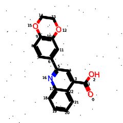 O=C(O)c1cc(-c2ccc3c(c2)OCCO3)nc2ccccc12